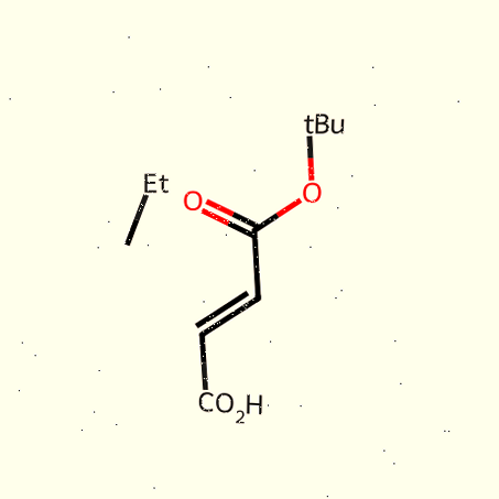 CC(C)(C)OC(=O)C=CC(=O)O.CCC